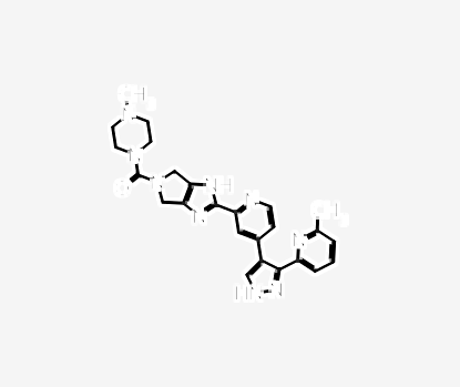 Cc1cccc(-c2n[nH]cc2-c2ccnc(-c3nc4c([nH]3)CN(C(=O)N3CCN(C)CC3)C4)c2)n1